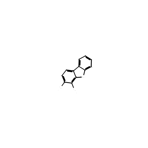 O=[N+]([O-])c1ccc2c([nH]c3ccccc32)c1[N+](=O)[O-]